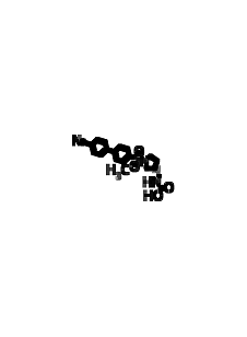 Cc1cc(-c2ccc(C#N)cc2)ccc1S(=O)(=O)N1CC[C@H](CNC(=O)O)C1